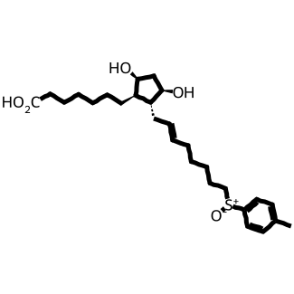 Cc1ccc([S+]([O-])CCCCC/C=C/C[C@@H]2[C@@H](CCCCCCC(=O)O)[C@@H](O)C[C@H]2O)cc1